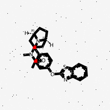 CC(=O)N(C)C1C[C@H]2CC[C@@H](C1)N2Cc1ccc(Oc2nc3ccccc3s2)cc1